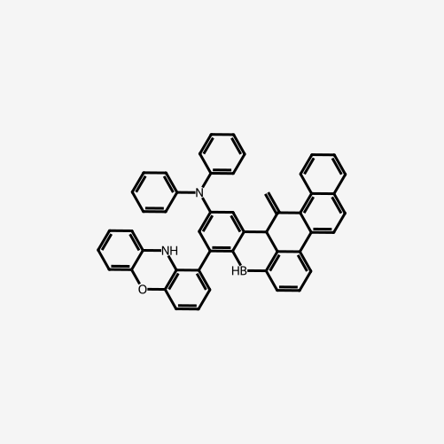 C=C1c2c(ccc3ccccc23)-c2cccc3c2C1c1cc(N(c2ccccc2)c2ccccc2)cc(-c2cccc4c2Nc2ccccc2O4)c1B3